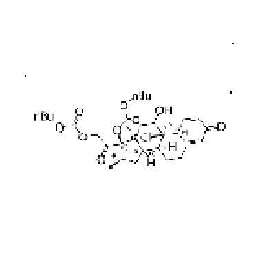 CCCCOC(=O)OCC(=O)[C@@]1(OC(=O)OCCCC)[C@H](C)C[C@H]2[C@@H]3CCC4=CC(=O)C=C[C@]4(C)[C@@]3(Cl)C(O)C[C@@]21C